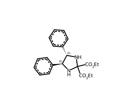 CCOC(=O)C1(C(=O)OCC)N[C@@H](c2ccccc2)[C@H](c2ccccc2)N1